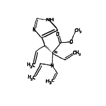 C=CC(c1c[nH]cn1)[C@@](C=C)(C(=O)OC)N(C=C)C=C